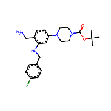 CC(C)(C)OC(=O)N1CCN(c2ccc(CN)c(NCc3ccc(F)cc3)c2)CC1